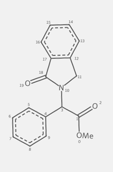 COC(=O)C(c1ccccc1)N1Cc2ccccc2C1=O